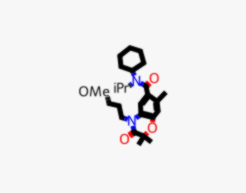 COCCCN1C(=O)C(C)(C)Oc2cc(C)c(C(=O)N(C(C)C)C3CCCCC3)cc21